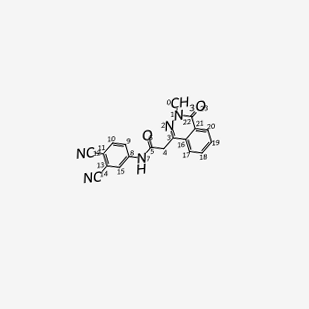 Cn1nc(CC(=O)Nc2ccc(C#N)c(C#N)c2)c2ccccc2c1=O